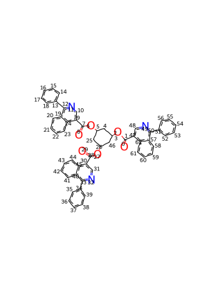 O=C(OC1CC(OC(=O)c2cnc(-c3ccccc3)c3ccccc23)CC(OC(=O)c2cnc(-c3ccccc3)c3ccccc23)C1)c1cnc(-c2ccccc2)c2ccccc12